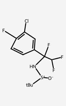 CC(C)(C)[S+]([O-])NC(F)(c1ccc(F)c(Cl)c1)C(F)F